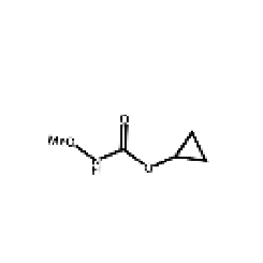 CONC(=O)OC1CC1